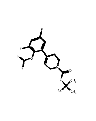 CC(C)(C)OC(=O)N1CC=C(c2cc(F)cc(F)c2OC(F)F)CC1